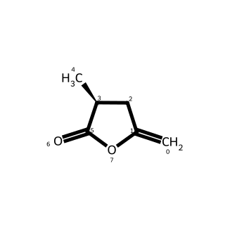 C=C1C[C@H](C)C(=O)O1